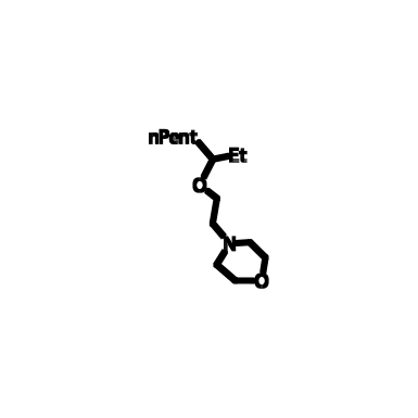 CCCCCC(CC)OCCN1CCOCC1